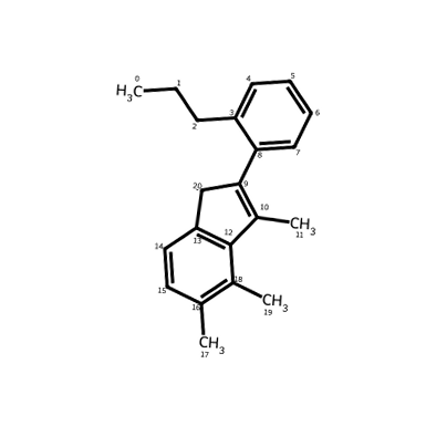 CCCc1ccccc1C1=C(C)c2c(ccc(C)c2C)[CH]1